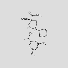 CC(=O)N[C@@]1(C(N)=O)CC[C@@](COC(C)c2cc(C(F)(F)F)cc(C(F)(F)F)c2)(c2ccccc2)NC1